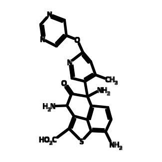 Cc1cc(Oc2cncnc2)ncc1C1(N)C(=O)C(N)c2c(C(=O)O)sc3c(N)ccc1c23